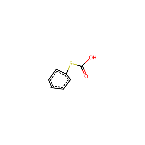 O=C(O)Sc1cc[c]cc1